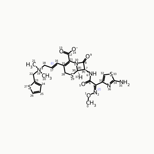 CO/N=C(\C(=O)N[C@@H]1C(=O)N2C(C(=O)[O-])=C(/C=C/C[N+](C)(C)Cc3cccs3)CS[C@H]12)c1csc(N)n1